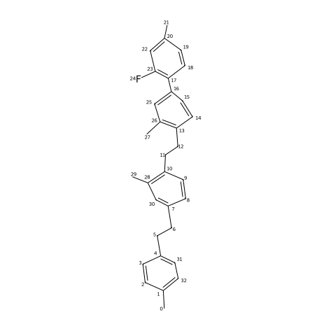 Cc1ccc(CCc2ccc(CCc3ccc(-c4ccc(C)cc4F)cc3C)c(C)c2)cc1